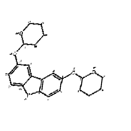 c1cc2c(cc1OC1CCCCO1)-c1cc(OC3CCCCO3)ccc1[I+]2